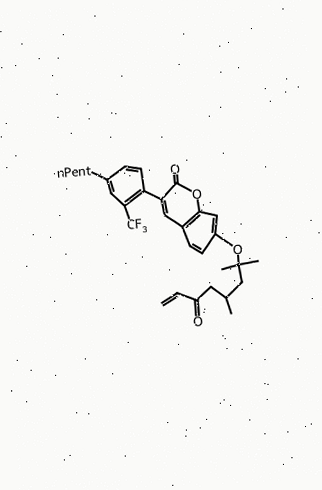 C=CC(=O)CC(C)CC(C)(C)Oc1ccc2cc(-c3ccc(CCCCC)cc3C(F)(F)F)c(=O)oc2c1